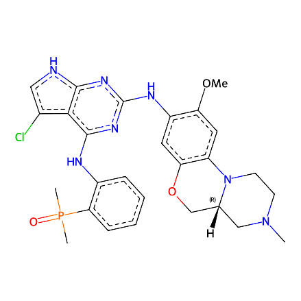 COc1cc2c(cc1Nc1nc(Nc3ccccc3P(C)(C)=O)c3c(Cl)c[nH]c3n1)OC[C@H]1CN(C)CCN21